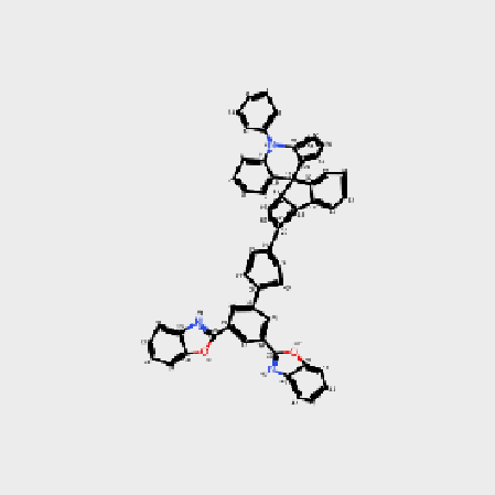 c1ccc(N2c3ccccc3C3(c4ccccc4-c4cc(-c5ccc(-c6cc(-c7nc8ccccc8o7)cc(-c7nc8ccccc8o7)c6)cc5)ccc43)c3ccccc32)cc1